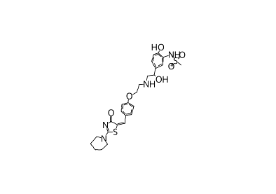 CS(=O)(=O)Nc1cc(C(O)CNCCOc2ccc(/C=C3/SC(N4CCCCC4)=NC3=O)cc2)ccc1O